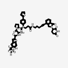 CC(C)(C)C(NC(=O)c1cc2cc(C(F)(F)P(=O)(O)O)ccc2s1)C(=O)N1CCC[C@H]1C(=O)N(CCC(=O)NCCCC#Cc1cccc2c1CN(C1CCC(=O)NC1=O)C2=O)c1ccc(-c2cccs2)cc1